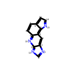 C1=Nc2cc3c4c(ccc3nc2=N1)=CC=N4